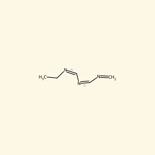 C=N/C=N\C=N/CC